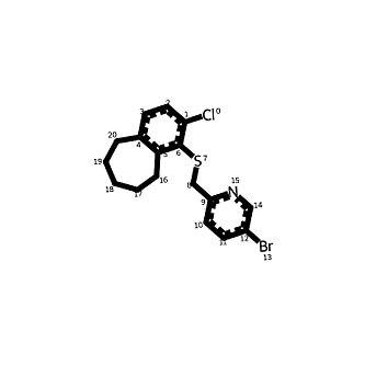 Clc1ccc2c(c1SCc1ccc(Br)cn1)CCCCC2